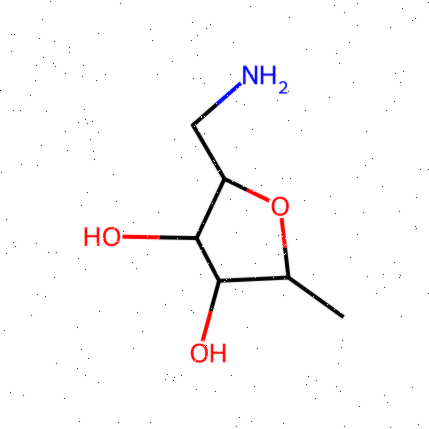 CC1OC(CN)C(O)C1O